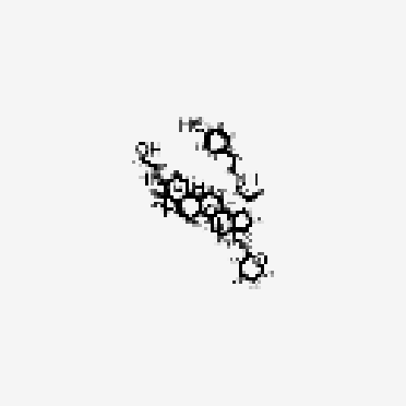 C=C(CNCCc1ccc(O)cc1)[C@@H]1CC[C@]2(COC3CCCCO3)CC[C@]3(C)[C@H](CC[C@@H]4[C@@]5(C)CCC(NCCO)C(C)(C)[C@@H]5CC[C@]43C)[C@@H]12